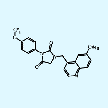 COc1ccc2nccc(CN3CC(=O)N(c4ccc(OC(F)(F)F)cc4)C3=O)c2c1